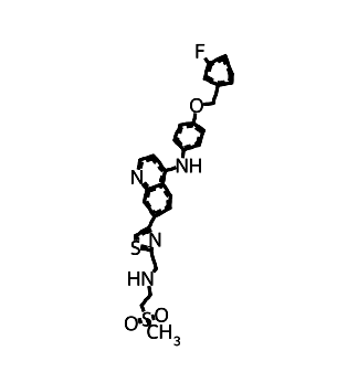 CS(=O)(=O)CCNCc1nc(-c2ccc3c(Nc4ccc(OCc5cccc(F)c5)cc4)ccnc3c2)cs1